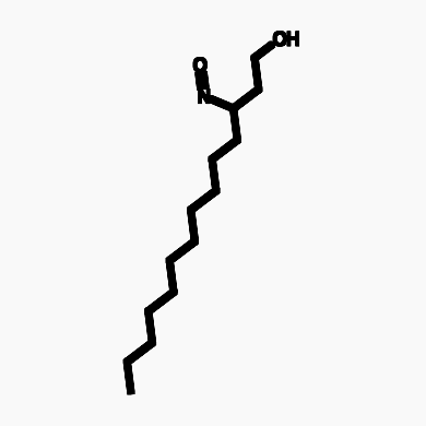 CCCCCCCCCCCC(CCO)N=O